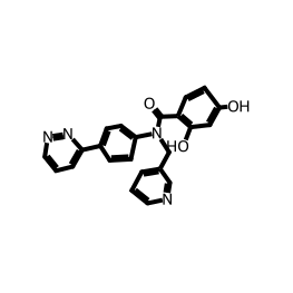 O=C(c1ccc(O)cc1O)N(Cc1cccnc1)c1ccc(-c2cccnn2)cc1